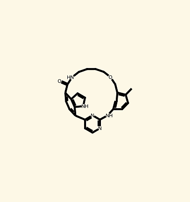 Cc1ccc2cc1COCCCCNC(=O)c1ccc(c3[nH]ccc13)-c1ccnc(n1)N2